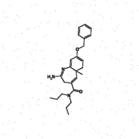 CCCN(CCC)C(=O)C1=CC2(C)CC=C(OCc3ccccc3)C=C2N=C(N)C1